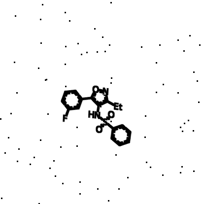 CCc1noc(-c2cccc(F)c2)c1NS(=O)(=O)c1ccccc1